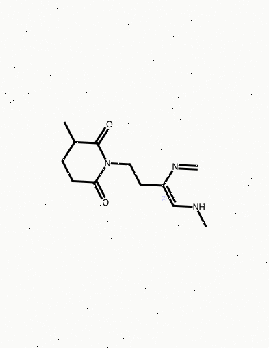 C=N/C(=C\NC)CCN1C(=O)CCC(C)C1=O